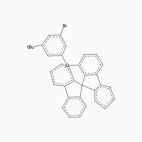 CC(C)(C)c1cc(Br)cc(Oc2cccc3c2C2(c4ccccc4-c4ccccc42)c2ccccc2-3)c1